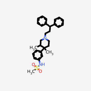 CC1CN(CCC(c2ccccc2)c2ccccc2)CCC1(C)c1cccc(NS(C)(=O)=O)c1